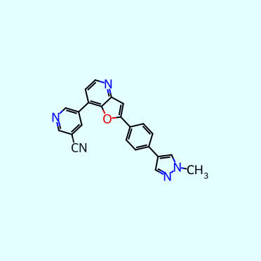 Cn1cc(-c2ccc(-c3cc4nccc(-c5cncc(C#N)c5)c4o3)cc2)cn1